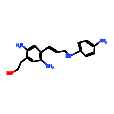 Nc1ccc(NC/C=C/c2cc(N)c(CCO)cc2N)cc1